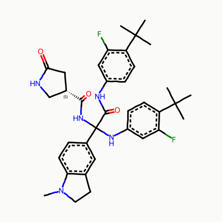 CN1CCc2cc(C(NC(=O)[C@@H]3CNC(=O)C3)(Nc3ccc(C(C)(C)C)c(F)c3)C(=O)Nc3ccc(C(C)(C)C)c(F)c3)ccc21